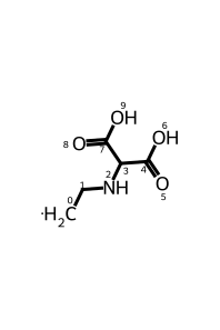 [CH2]CNC(C(=O)O)C(=O)O